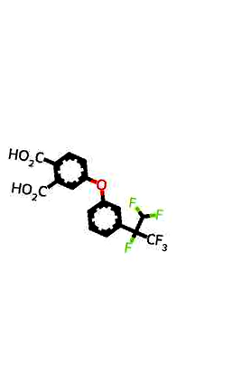 O=C(O)c1ccc(Oc2cccc(C(F)(C(F)F)C(F)(F)F)c2)cc1C(=O)O